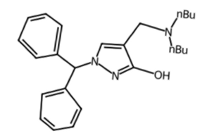 CCCCN(CCCC)Cc1cn(C(c2ccccc2)c2ccccc2)nc1O